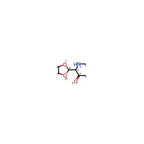 CNC(C(C)=O)C1OCCO1